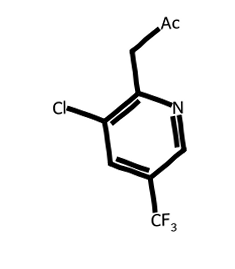 CC(=O)Cc1ncc(C(F)(F)F)cc1Cl